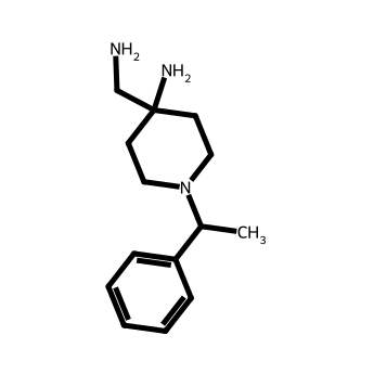 CC(c1ccccc1)N1CCC(N)(CN)CC1